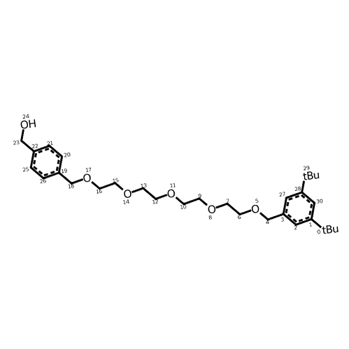 CC(C)(C)c1cc(COCCOCCOCCOCCOCc2ccc(CO)cc2)cc(C(C)(C)C)c1